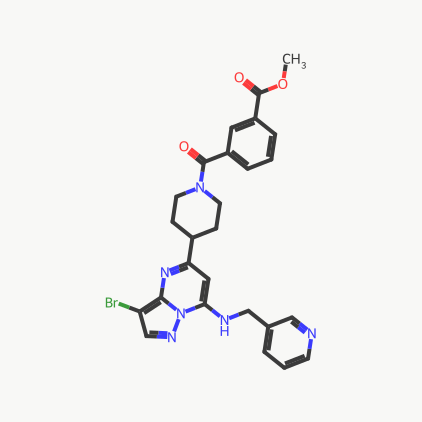 COC(=O)c1cccc(C(=O)N2CCC(c3cc(NCc4cccnc4)n4ncc(Br)c4n3)CC2)c1